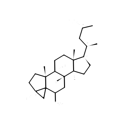 CCOC(=O)[C@H](C)C[C@@H](C)[C@H]1CC[C@H]2[C@@H]3CC(OC)C45C[C@H]4CC[C@]5(C)[C@H]3CC[C@]12C